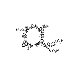 CNC(=O)C[C@@H]1NC(=O)c2csc(n2)-c2ccc(-c3nc(N(CCCC(=O)O)C(=O)O[C@H]4CC[C@H](C(=O)O)CC4)cs3)nc2-c2csc(n2)-c2csc(n2)[C@H]([C@@H](O)c2ccccc2)NC(=O)CNC(=O)c2nc(sc2COC)[C@H](C(C)C)NC(=O)c2nc1sc2C